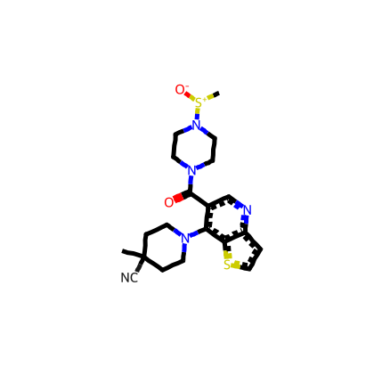 C[S+]([O-])N1CCN(C(=O)c2cnc3ccsc3c2N2CCC(C)(C#N)CC2)CC1